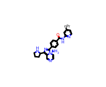 CCCc1ccnc(NC(=O)c2ccc(C3=NC(C4CCCN4)=C4C=NC=C[N+]34N)cc2)c1